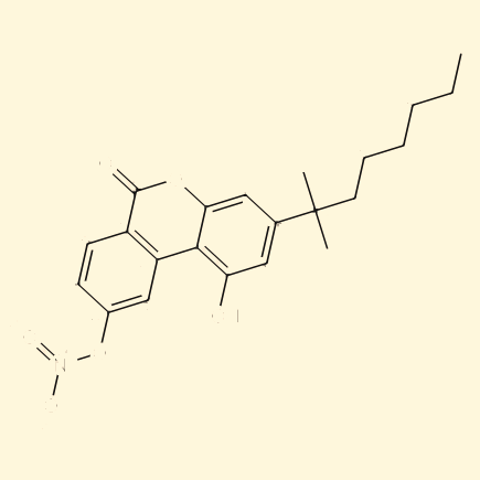 CCCCCCC(C)(C)c1cc(O)c2c(c1)oc(=O)c1ccc(O[N+](=O)[O-])cc12